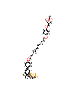 C=C1OCC(COc2ccc(OCCCCCCCCCCCCOc3ccc(-c4cc(F)c(OC)c(P)c4)cc3)cc2)CO1